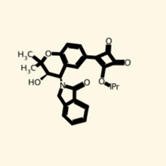 CC(C)Oc1c(-c2ccc3c(c2)[C@H](N2Cc4ccccc4C2=O)[C@@H](O)C(C)(C)O3)c(=O)c1=O